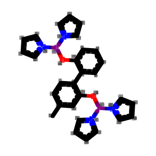 Cc1ccc(-c2ccccc2OP(n2cccc2)n2cccc2)c(OP(n2cccc2)n2cccc2)c1